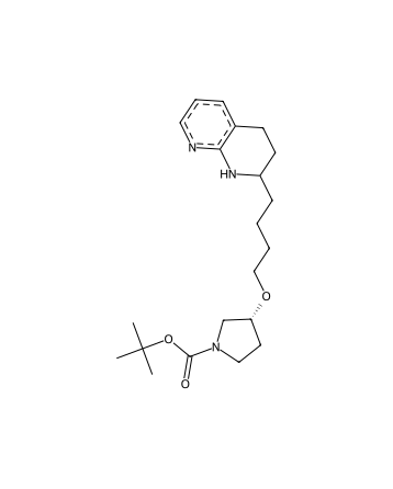 CC(C)(C)OC(=O)N1CC[C@@H](OCCCCC2CCc3cccnc3N2)C1